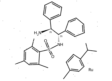 Cc1cc(C)c(S(=O)(=O)N[C@@H](c2ccccc2)[C@@H](N)c2ccccc2)c(C)c1.Cc1ccc(C(C)C)cc1.[Ru]